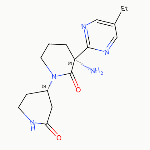 CCc1cnc([C@]2(N)CCCN([C@H]3CCNC(=O)C3)C2=O)nc1